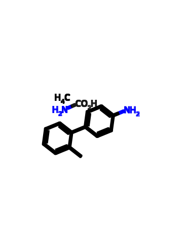 C.Cc1ccccc1-c1ccc(N)cc1.NC(=O)O